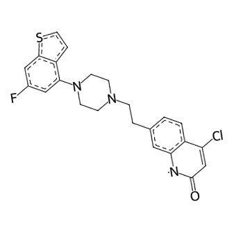 O=C1C=C(Cl)c2ccc(CCN3CCN(c4cc(F)cc5sccc45)CC3)cc2[N]1